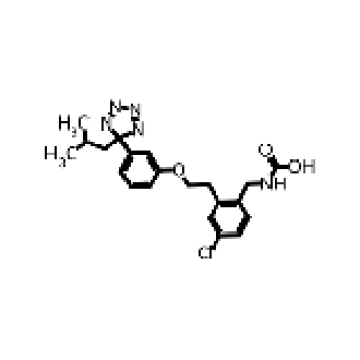 CC(C)CC1(c2cccc(OCCc3cc(Cl)ccc3CNC(=O)O)c2)N=NN=N1